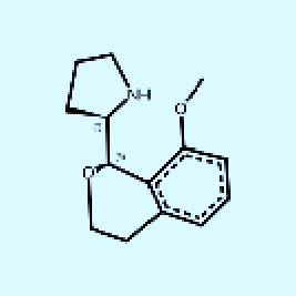 COc1cccc2c1[C@H]([C@H]1CCCN1)OCC2